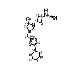 N#CN[C@H]1C[C@H](N2C[C@@H](Cc3ncc(C4CCCCC4)s3)CC2=O)C1